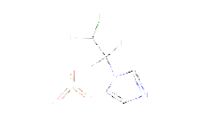 FC(F)C(F)(F)n1ccnc1.O=[SH](=O)O